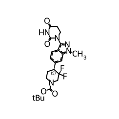 Cn1nc(N2CCC(=O)NC2=O)c2ccc([C@@H]3CCN(C(=O)OC(C)(C)C)CC3(F)F)cc21